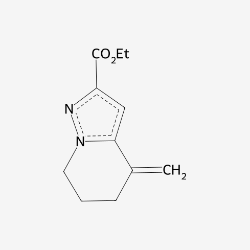 C=C1CCCn2nc(C(=O)OCC)cc21